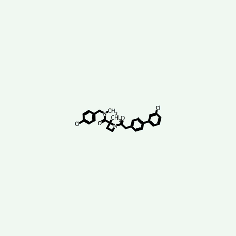 CN(Cc1ccc(Cl)cc1)C(=O)C1(C)CCN1C(=O)Cc1ccc(-c2cccc(Cl)c2)cc1